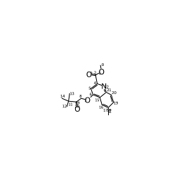 COC(=O)c1cc(OCC(=O)C(C)(C)C)c2cc(F)ccc2n1